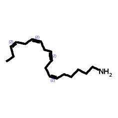 CC/C=C\C/C=C\C/C=C\C/C=C\CCCCCN